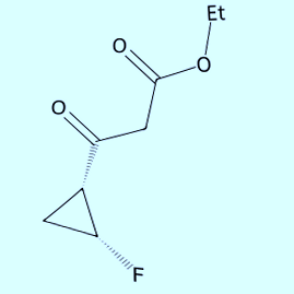 CCOC(=O)CC(=O)[C@H]1C[C@H]1F